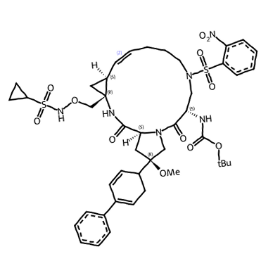 CO[C@@]1(C2C=CC(c3ccccc3)=CC2)C[C@H]2C(=O)N[C@]3(CONS(=O)(=O)C4CC4)C[C@H]3/C=C\CCCN(S(=O)(=O)c3ccccc3[N+](=O)[O-])C[C@H](NC(=O)OC(C)(C)C)C(=O)N2C1